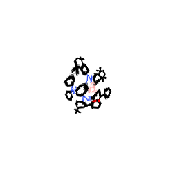 CC(C)(C)c1ccc(N2c3ccc(-c4ccccc4)cc3B3c4cc5c(cc4N(c4ccc6c(c4)C(C)(C)CCC6(C)C)c4cc(N(c6ccccc6)c6ccccc6)cc2c43)C(C)(C)CCC5(C)C)c(-c2ccccc2)c1